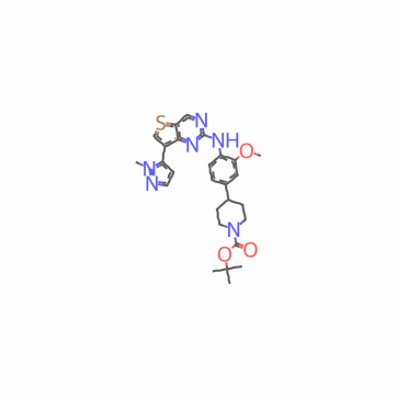 COc1cc(C2CCN(C(=O)OC(C)(C)C)CC2)ccc1Nc1ncc2scc(-c3ccnn3C)c2n1